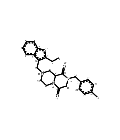 CCc1sc2ccccc2c1CN1CCN2C(=O)CN(Cc3ccc(C)cc3)C(=O)C2C1